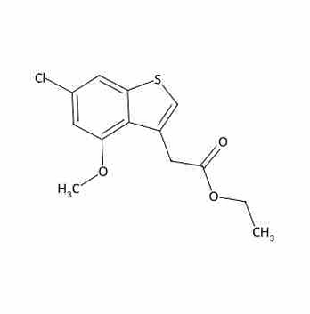 CCOC(=O)Cc1csc2cc(Cl)cc(OC)c12